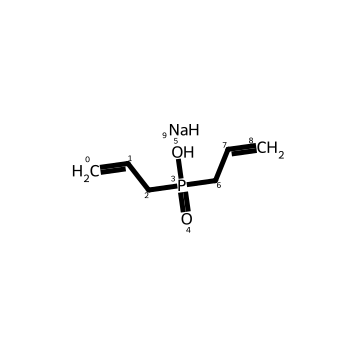 C=CCP(=O)(O)CC=C.[NaH]